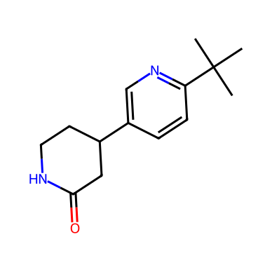 CC(C)(C)c1ccc(C2CCNC(=O)C2)cn1